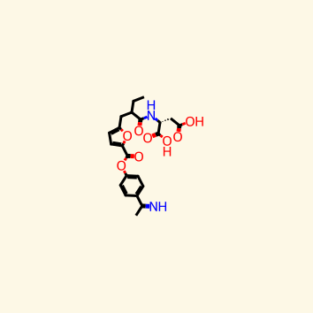 CCC(Cc1ccc(C(=O)Oc2ccc(C(C)=N)cc2)o1)C(=O)N[C@H](CC(=O)O)C(=O)O